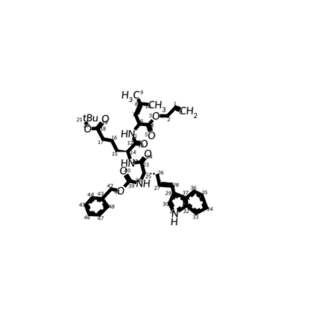 C=CCOC(=O)C(C=C(C)C)NC(=O)[C@H](CCCC(=O)OC(C)(C)C)NC(=O)[C@H](C/C=C/c1c[nH]c2ccccc12)NC(=O)OCc1ccccc1